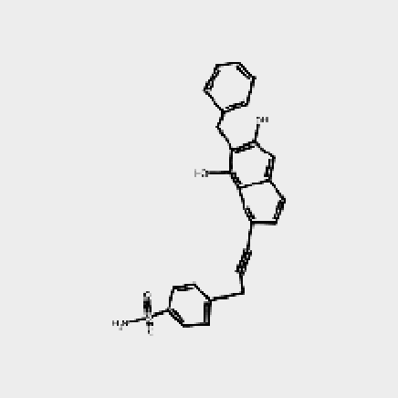 NS(=O)(=O)c1ccc(CC#Cc2ccc3cc(O)c(Cc4ccccc4)c(O)c3c2)cc1